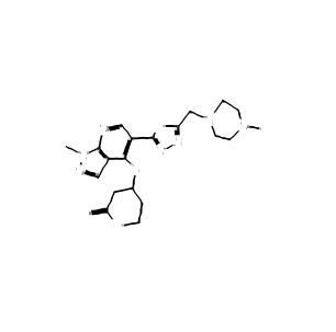 CCn1ncc2c(NC3CCOC(=O)C3)c(-c3nnc(CN4CCN(C)CC4)o3)cnc21